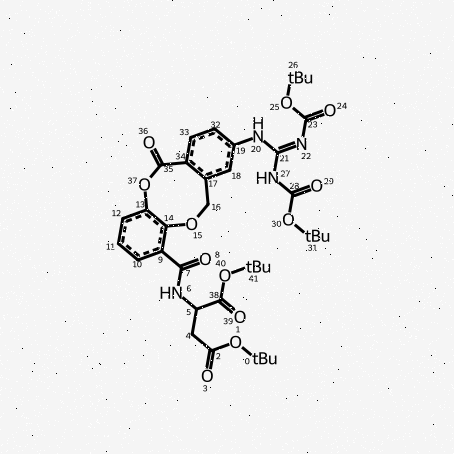 CC(C)(C)OC(=O)CC(NC(=O)c1cccc2c1OCc1cc(NC(=NC(=O)OC(C)(C)C)NC(=O)OC(C)(C)C)ccc1C(=O)O2)C(=O)OC(C)(C)C